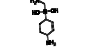 NC[Si](O)(O)C1C=CC(N)CC1